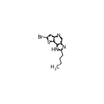 CCCCc1nc2cnc3cc(Br)sc3c2[nH]1